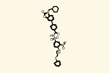 O=C(NS(=O)(=O)c1ccc(NCCSc2ccccc2)c([N+](=O)[O-])c1)c1ccc(-c2ccc3c(c2)oc(=O)n3CC2CCCCC2)cc1